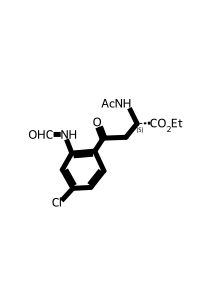 CCOC(=O)[C@H](CC(=O)c1ccc(Cl)cc1NC=O)NC(C)=O